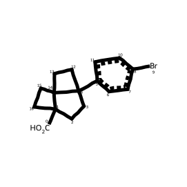 O=C(O)C12CCC3(c4ccc(Br)cc4)CCC13CC2